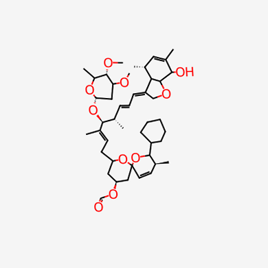 COC1C[C@H](O[C@H](/C(C)=C/CC2C[C@H](OC=O)CC3(C=C[C@H](C)C(C4CCCCC4)O3)O2)[C@@H](C)/C=C/C=C2\COC3C(O)C(C)=C[C@@H](C)C23)OC(C)[C@@H]1OC